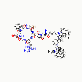 CN1/C(=C/C=C2C=C(/C=C/C3=[N+](CCCCCC(=O)NCCN4C(=O)CC(SCC5NC(=O)C(CS)NC(=O)C(Cc6ccccc6)NC(=O)C(CC(=O)O)NC(=O)CNC(=O)C(CCCNC(=N)N)NC5=O)C4=O)c4ccc5ccccc5c4C3(C)C)CCC/2)C(C)(C)c2c1ccc1ccccc21